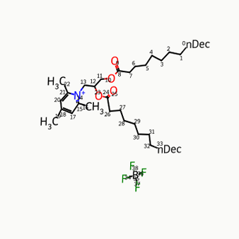 CCCCCCCCCCCCCCCCCC(=O)OCC(C[n+]1c(C)cc(C)cc1C)OC(=O)CCCCCCCCCCCCCCCCC.F[B-](F)(F)F